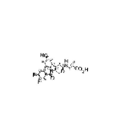 Cc1c(CC(=O)NCC(C)C(=O)O)c2cc(O)ccc2n1C(=O)c1ccc(F)c(F)c1